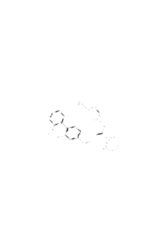 N=N/N=C\NCC(=O)N1CCCC[C@@H]1CONc1ccc(-c2ccccc2OC(F)(F)F)c(Cl)c1